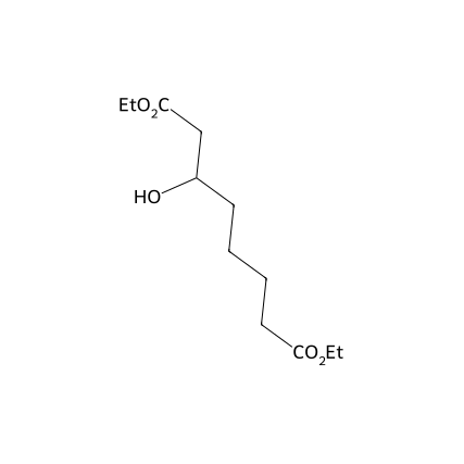 CCOC(=O)CCCCC(O)CC(=O)OCC